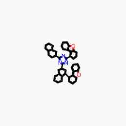 c1ccc2cc(-c3nc(-c4cc(-c5cccc6oc7ccccc7c56)c5ccccc5c4)nc(-c4cccc5oc6ccccc6c45)n3)ccc2c1